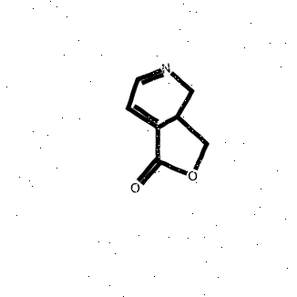 O=C1OCC2CN=CC=C12